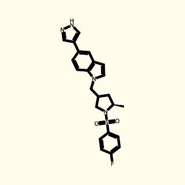 C[C@@H]1CC(Cn2ccc3cc(-c4cn[nH]c4)ccc32)CN1S(=O)(=O)c1ccc(F)cc1